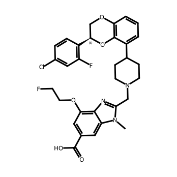 Cn1c(CN2CCC(c3cccc4c3O[C@@H](c3ccc(Cl)cc3F)CO4)CC2)nc2c(OCCF)cc(C(=O)O)cc21